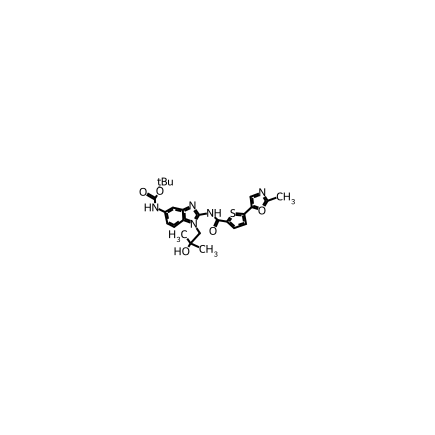 Cc1ncc(-c2ccc(C(=O)Nc3nc4cc(NC(=O)OC(C)(C)C)ccc4n3CC(C)(C)O)s2)o1